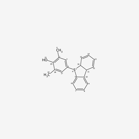 Cc1cc([S+]2c3ccccc3C3C=CC=CC32)cc(C)c1O